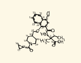 CCC(C)(NC(=O)c1cc(Cl)c2ccccc2c1OCC1CCN(C(=O)C2CC2)CC1)C(=O)O